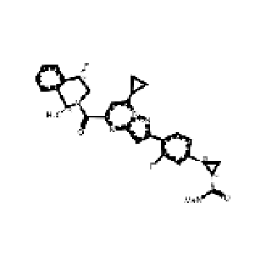 CNC(=O)[C@H]1C[C@@H]1c1ccc(-c2cc3nc(C(=O)N4C[C@@H](F)c5ccccc5[C@H]4C)cc(C4CC4)n3n2)c(F)c1